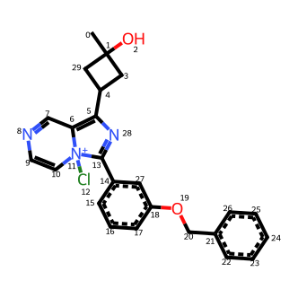 CC1(O)CC(C2=C3C=NC=C[N+]3(Cl)C(c3cccc(OCc4ccccc4)c3)=N2)C1